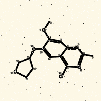 COc1cc2nc(C)nc(Cl)c2cc1O[C@H]1CCOC1